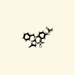 CC1=CN(S(C)(=O)=O)C(N(Cc2ccccc2)c2ccc(OC(F)F)cc2)S1